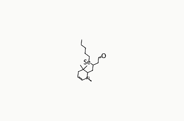 CCCCC[Se]C(CC=O)CC1[C@@H](C)C=CCC1(C)C